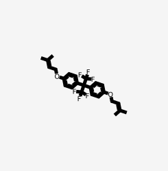 CC(C)=CCOc1ccc(C(c2ccc(OCC=C(C)C)cc2)(C(F)(F)F)C(F)(F)F)cc1